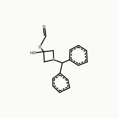 O=COC1(O)CN(C(c2ccccc2)c2ccccc2)C1